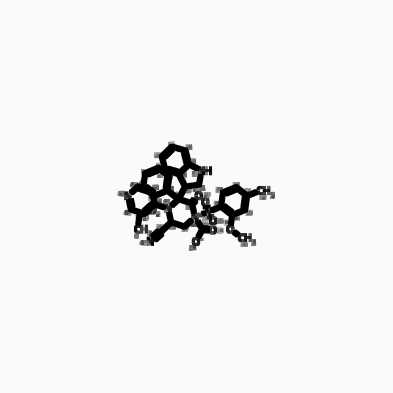 CCOc1ccccc1C1(C2CNc3ccccc32)C(=O)[N+](C(=O)[O-])(S(=O)(=O)c2ccc(C)cc2OC)CC(C#N)N1c1ccncc1